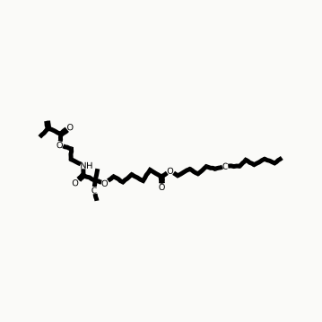 C=C(C)C(=O)OCCNC(=O)C(C)(CC)OCCCCCC(=O)OCCCCCCCCCCCC